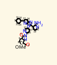 COC(=O)C1CCCC(C(=O)Nc2ccc(-n3c(-c4cccnc4N)nc4ccc(-c5ccccc5)nc43)cn2)C1